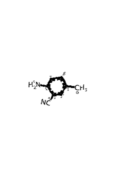 Cc1[c]c(C#N)c(N)cc1